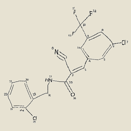 N#C/C(=C\c1cc(Cl)cc(C(F)(F)F)c1)C(=O)NCc1ccccc1Cl